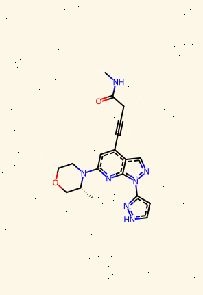 CNC(=O)CC#Cc1cc(N2CCOC[C@H]2C)nc2c1cnn2-c1cc[nH]n1